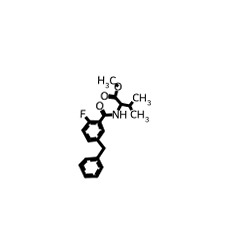 COC(=O)C(NC(=O)c1cc(Cc2ccccc2)ccc1F)C(C)C